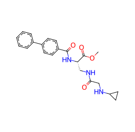 COC(=O)[C@H](CNC(=O)CNC1CC1)NC(=O)c1ccc(-c2ccccc2)cc1